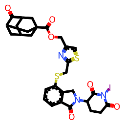 O=C1C2CC3CC1CC(C(=O)OCc1csc(CSc4cccc5c4CN(C4CCC(=O)N(I)C4=O)C5=O)n1)(C3)C2